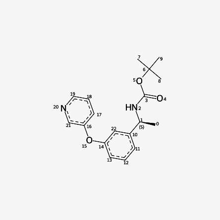 C[C@H](NC(=O)OC(C)(C)C)c1cccc(Oc2cccnc2)c1